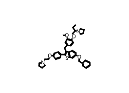 CCC(COc1ccc(Cc2c(-c3ccc(OCCN4CCCC4)cc3)sc3cc(OCc4ccccc4)ccc23)cc1OC)N1CCCC1